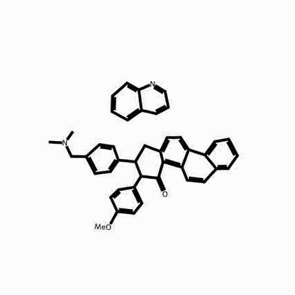 COc1ccc(C2C(=O)c3c(ccc4c3ccc3ccccc34)CC2c2ccc(CN(C)C)cc2)cc1.c1ccc2ncccc2c1